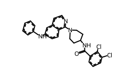 O=C(NC1CCN(c2nccc3cc(Nc4ccccc4)ccc23)CC1)c1cccc(Cl)c1Cl